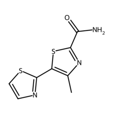 Cc1nc(C(N)=O)sc1-c1nccs1